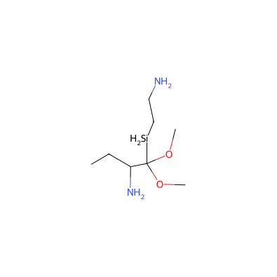 CCC(N)C(OC)(OC)[SiH2]CCN